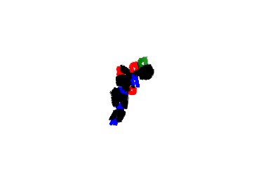 O=C(N[C@@H]1CCOc2ccc(C(=O)N3CCC4(CCN(c5ccncc5)CC4)C3)cc21)c1ccccc1Cl